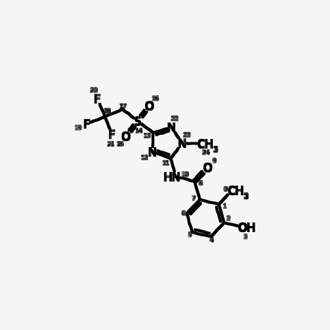 Cc1c(O)cccc1C(=O)Nc1nc(S(=O)(=O)CC(F)(F)F)nn1C